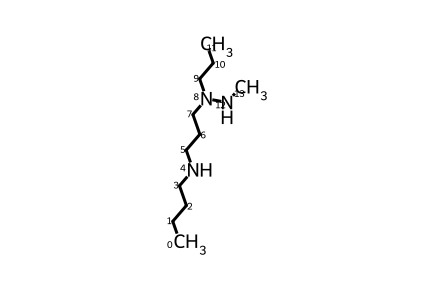 CCCCNCCCN(CCC)NC